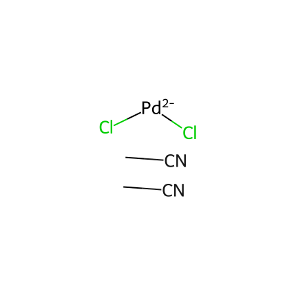 CC#N.CC#N.[Cl][Pd-2][Cl]